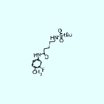 Cc1ccc(NC(=O)CCCCNS(=O)(=O)C(C)(C)C)cc1F